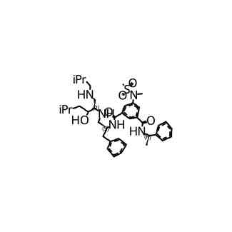 CC(C)CNC[C@@H](NC[C@H](Cc1ccccc1)NC(=O)c1cc(C(=O)N[C@H](C)c2ccccc2)cc(N(C)S(C)(=O)=O)c1)C(O)CC(C)C